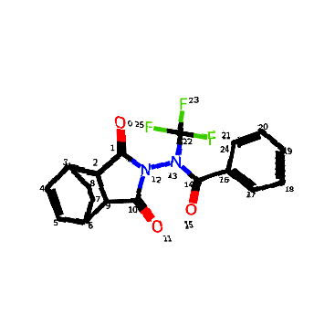 O=C1C2C3C=CC(CC3)C2C(=O)N1N(C(=O)c1ccccc1)C(F)(F)F